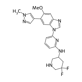 COc1cc2ncn(-c3cccc(NC4CNCC(F)(F)C4)n3)c2cc1-c1cnn(C)c1